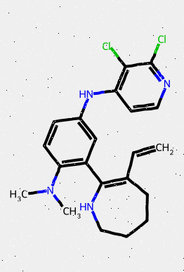 C=CC1=C(c2cc(Nc3ccnc(Cl)c3Cl)ccc2N(C)C)NCCCC1